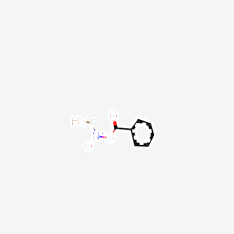 O=C(O[N+](=O)SS)c1ccccc1